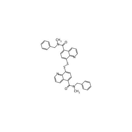 CN(Cc1ccccc1)C(=O)c1ccc(SSc2ccc(C(=O)N(C)Cc3ccccc3)c3cccnc23)c2ncccc12